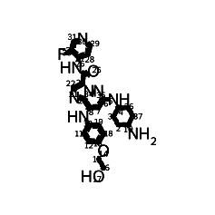 NC1CCC(Nc2cc(Nc3ccc(OCCO)cc3)c3ncc(C(=O)Nc4ccncc4F)n3n2)CC1